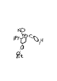 CCOCCOc1cc(C(C)C)c2c(c1)c(C(=O)O)cn2Cc1ccccn1